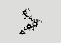 Bc1cnc(Nc2cccc(NC(=O)N3CCCC3)c2)nc1NCCCNC(=O)c1ccc(C)s1